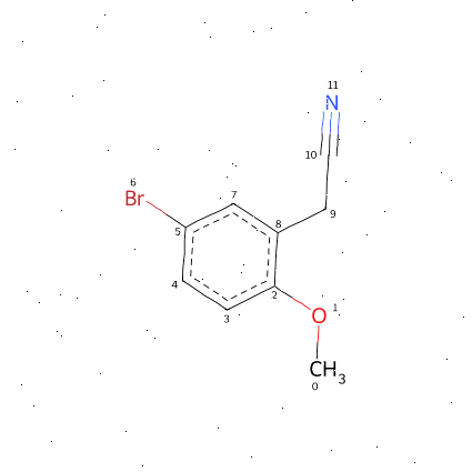 COc1ccc(Br)cc1CC#N